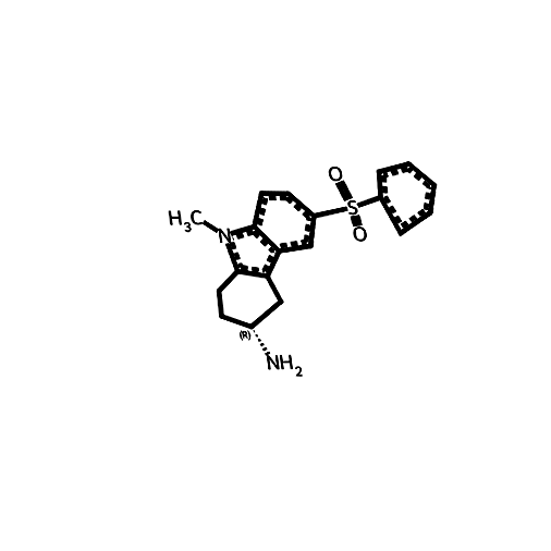 Cn1c2c(c3cc(S(=O)(=O)c4ccccc4)ccc31)C[C@H](N)CC2